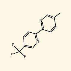 Cc1ccc(-c2ccc(C(F)(F)F)cn2)nc1